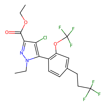 CCOC(=O)c1nn(CC)c(-c2ccc(CCC(F)(F)F)cc2OC(F)(F)F)c1Cl